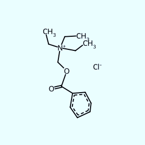 CC[N+](CC)(CC)COC(=O)c1ccccc1.[Cl-]